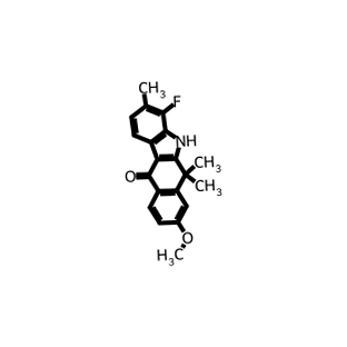 COc1ccc2c(c1)C(C)(C)c1[nH]c3c(F)c(C)ccc3c1C2=O